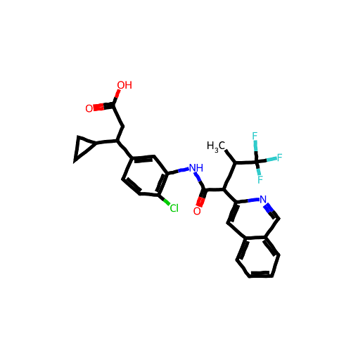 CC(C(C(=O)Nc1cc(C(CC(=O)O)C2CC2)ccc1Cl)c1cc2ccccc2cn1)C(F)(F)F